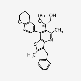 Cc1nc2c(Cc3ccccc3)c(C)sc2c(-c2ccc3c(c2)CCCO3)c1[C@@H](CO)OC(C)(C)C